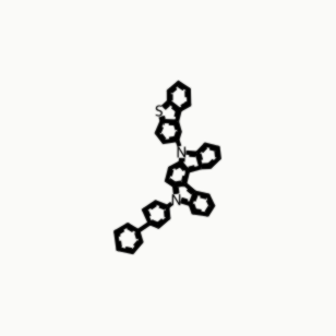 c1ccc(-c2ccc(-n3c4ccccc4c4c5c6ccccc6n(-c6ccc7sc8ccccc8c7c6)c5ccc43)cc2)cc1